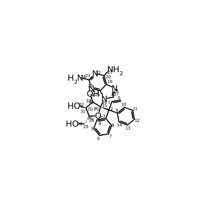 C=CC(c1ccccc1)(c1ccccc1)[C@@]1(n2cnc3c(N)nc(N)nc32)O[C@H](CO)[C@@H](O)[C@H]1O